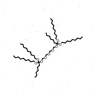 CCCCCCCCCOC(CCCCCC)(OCCCCCCCCC)OCOCOCOCOC(CCCCCC)(OCCCCCCCCC)OCCCCCCCCC